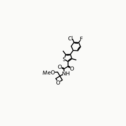 COCC1(NC(=O)C(=O)c2sc(C)c(C3C=CC(F)=C(Cl)C3)c2C)COC1